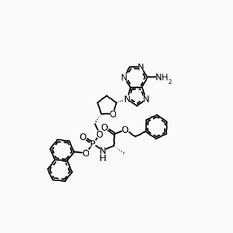 C[C@H](NP(=O)(OC[C@@H]1CC[C@H](n2cnc3c(N)ncnc32)O1)Oc1cccc2ccccc12)C(=O)OCc1ccccc1